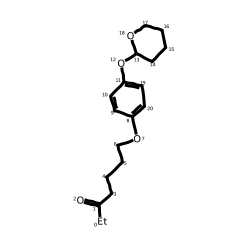 CCC(=O)CCCCOc1ccc(OC2CCCCO2)cc1